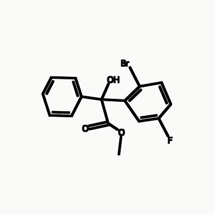 COC(=O)C(O)(c1ccccc1)c1cc(F)ccc1Br